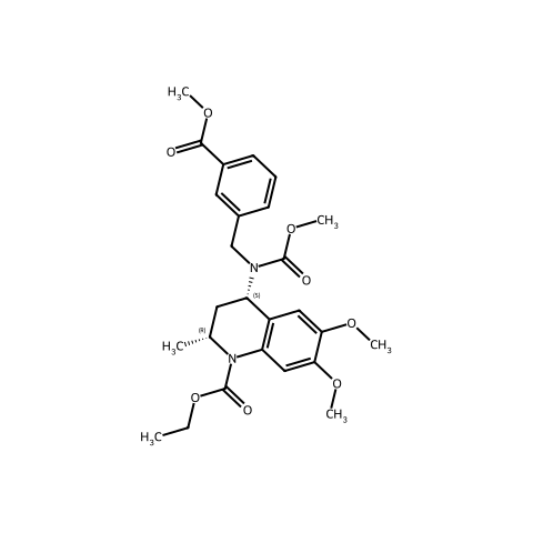 CCOC(=O)N1c2cc(OC)c(OC)cc2[C@@H](N(Cc2cccc(C(=O)OC)c2)C(=O)OC)C[C@H]1C